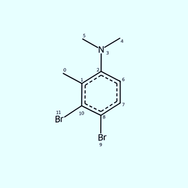 Cc1c(N(C)C)ccc(Br)c1Br